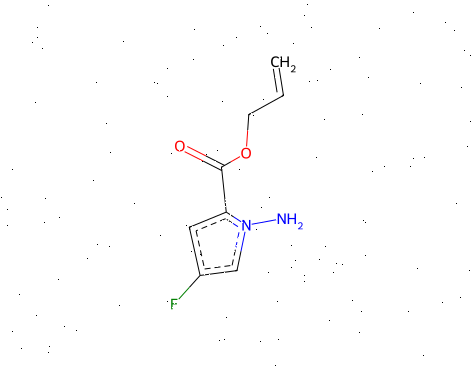 C=CCOC(=O)c1cc(F)cn1N